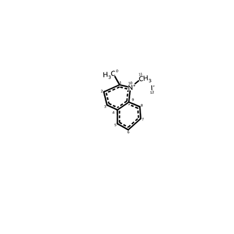 Cc1ccc2ccccc2[n+]1C.[I-]